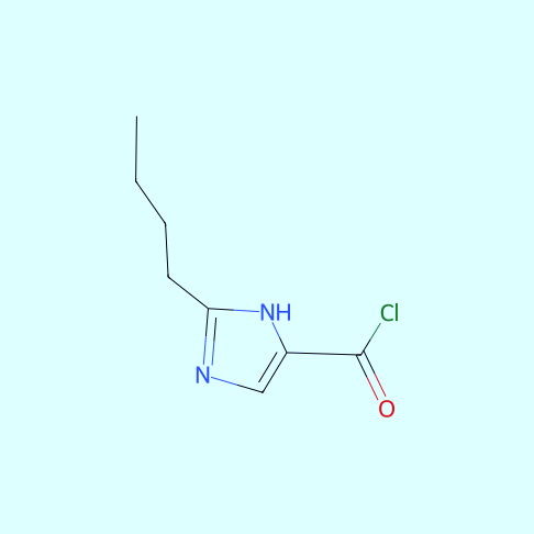 CCCCc1ncc(C(=O)Cl)[nH]1